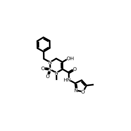 Cc1cc(NC(=O)C2=C(O)CN(Cc3ccccc3)S(=O)(=O)N2C)no1